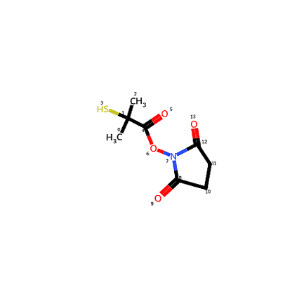 CC(C)(S)C(=O)ON1C(=O)CCC1=O